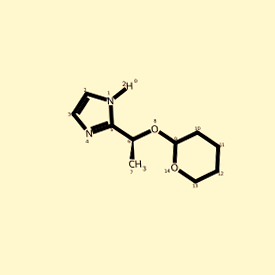 [2H]n1ccnc1[C@H](C)OC1CCCCO1